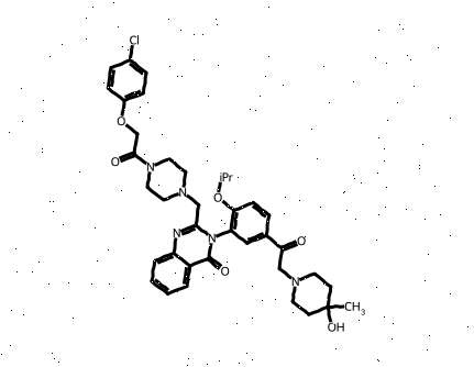 CC(C)Oc1ccc(C(=O)CN2CCC(C)(O)CC2)cc1-n1c(CN2CCN(C(=O)COc3ccc(Cl)cc3)CC2)nc2ccccc2c1=O